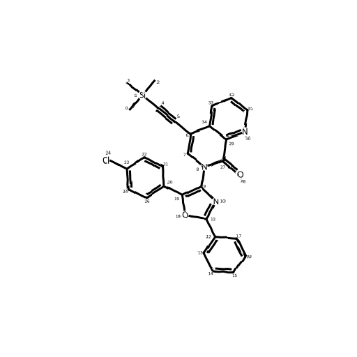 C[Si](C)(C)C#Cc1cn(-c2nc(-c3ccccc3)oc2-c2ccc(Cl)cc2)c(=O)c2ncccc12